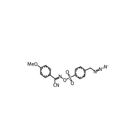 COc1ccc(/C(C#N)=N/OS(=O)(=O)c2ccc(CN=[N+]=[N-])cc2)cc1